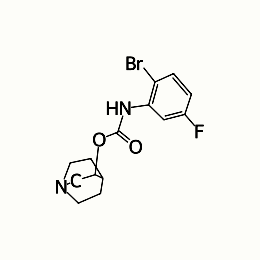 O=C(Nc1cc(F)ccc1Br)OC1CN2CCC1CC2